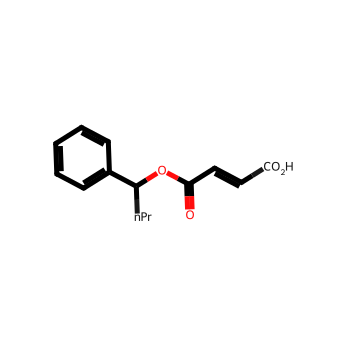 CCCC(OC(=O)C=CC(=O)O)c1ccccc1